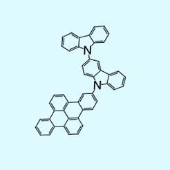 c1ccc2c(c1)c1cccc3c4ccc(-n5c6ccccc6c6cc(-n7c8ccccc8c8ccccc87)ccc65)cc4c4cccc2c4c13